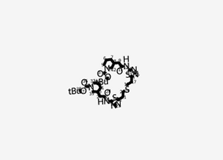 CC(C)(C)OC(=O)N1CCCC(CC(=O)Nc2nnc(CCSCCc3nnc(NC(=O)CC4CCCN(C(=O)OC(C)(C)C)C4)s3)s2)C1